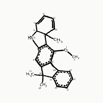 COc1c2c(cc3c1C1(C)C=CC=CC1N3)C(C)(C)c1ccccc1-2